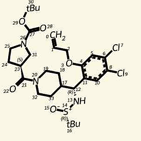 C=CCOc1cc(Cl)c(Cl)cc1[C@H](N[S@@+]([O-])C(C)(C)C)C1CCN(C(=O)[C@H]2CCN(C(=O)OC(C)(C)C)C2)CC1